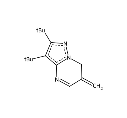 C=C1C=Nc2c(C(C)(C)C)c(C(C)(C)C)nn2C1